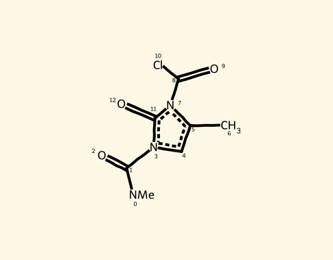 CNC(=O)n1cc(C)n(C(=O)Cl)c1=O